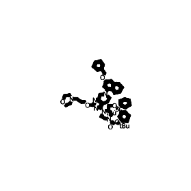 CC(C)(C)OC(=O)N1CCN(c2nc(OCCCN3CCOCC3)nc3c2CCN(c2cc(OCc4ccccc4)cc4ccccc24)C3)C(CO[Si](c2ccccc2)(c2ccccc2)C(C)(C)C)C1